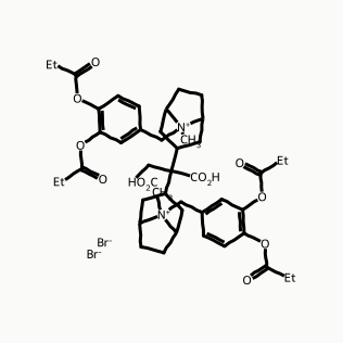 CCC(=O)Oc1ccc(C[N+]2(C)C3CCC2CC(C(CC(=O)O)(C(=O)O)C2CC4CCC(C2)[N+]4(C)Cc2ccc(OC(=O)CC)c(OC(=O)CC)c2)C3)cc1OC(=O)CC.[Br-].[Br-]